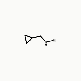 CCNCC1CC1